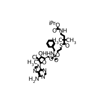 CC(C)OC(=O)NCCC(C)(C)C(=O)SCCO[P@](=O)(NCc1ccccc1)OC[C@H]1O[C@@H](n2cnc3c(N)ncnc32)[C@](C)(Cl)[C@@H]1O